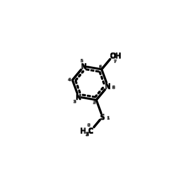 CSc1ncnc(O)n1